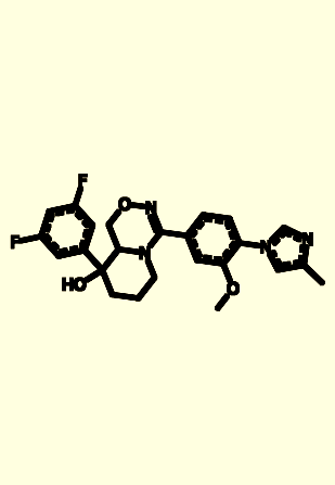 COc1cc(C2=NOCC3N2CCCC3(O)c2cc(F)cc(F)c2)ccc1-n1cnc(C)c1